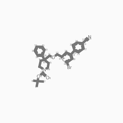 CC(C)(C)OC(=O)N1CCC(COCc2cc(Br)cc(-c3ccc(C#N)cc3)c2)(c2ccccc2)CC1